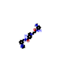 CN(C)c1cccc(NC(=O)CCCn2ccc3cc(C(=O)NN=Cc4cccc(-n5cccn5)c4)ccc32)c1